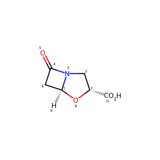 O=C(O)[C@H]1CN2C(=O)C[C@@H]2O1